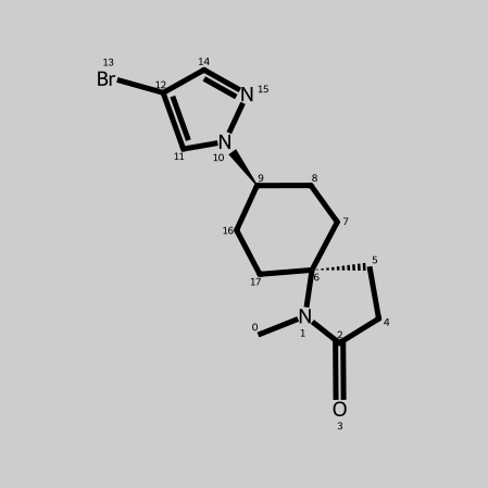 CN1C(=O)CC[C@]12CC[C@H](n1cc(Br)cn1)CC2